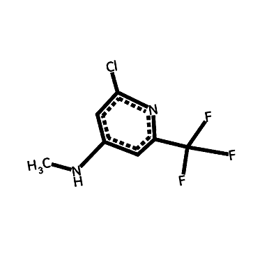 CNc1cc(Cl)nc(C(F)(F)F)c1